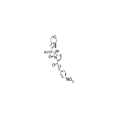 CC(=O)OC(c1cc2n(n1)COCC2)C1(Br)C(=O)N2C(C(=O)OCc3ccc([N+](=O)[O-])cc3)=CSC21